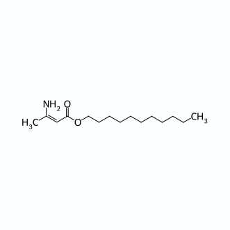 CCCCCCCCCCCOC(=O)C=C(C)N